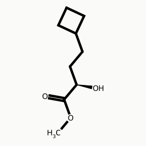 COC(=O)[C@H](O)CCC1CCC1